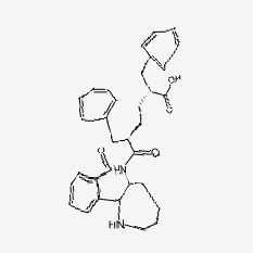 O=Cc1ccccc1C1NCCCCC1NC(=O)[C@H](CC[C@H](Cc1ccccc1)C(=O)O)Cc1ccccc1